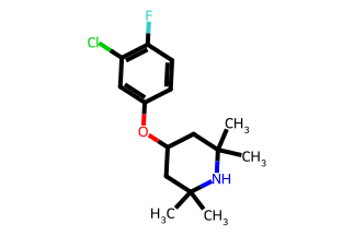 CC1(C)CC(Oc2ccc(F)c(Cl)c2)CC(C)(C)N1